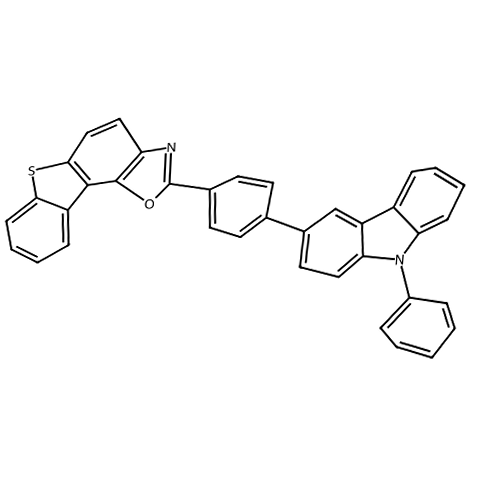 c1ccc(-n2c3ccccc3c3cc(-c4ccc(-c5nc6ccc7sc8ccccc8c7c6o5)cc4)ccc32)cc1